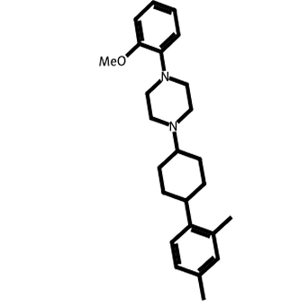 COc1ccccc1N1CCN(C2CCC(c3ccc(C)cc3C)CC2)CC1